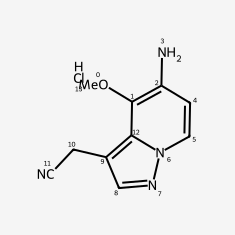 COc1c(N)ccn2ncc(CC#N)c12.Cl